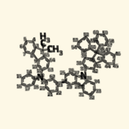 CC1(C)c2ccccc2-c2cc(N(c3ccccc3)c3cccc(-c4ccc5c(c4)c4ccccc4n5-c4ccc5c(c4)-c4ccccc4C5(c4ccccc4)c4ccccc4)c3)ccc21